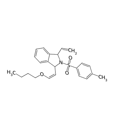 C=CC1c2ccccc2C(/C=C\OCCCC)N1S(=O)(=O)c1ccc(C)cc1